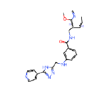 C=N/C(OC)=C(\C=C/C)CNC(=O)c1cccc(NCc2nnc(-c3ccncc3)[nH]2)c1